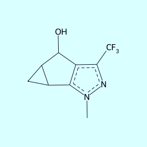 Cn1nc(C(F)(F)F)c2c1C1CC1C2O